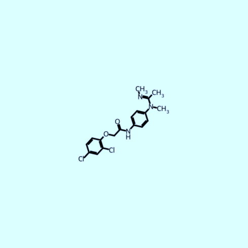 CN=C(C)N(C)c1ccc(NC(=O)COc2ccc(Cl)cc2Cl)cc1